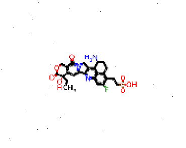 CC[C@@]1(O)C(=O)OCc2c1cc1n(c2=O)Cc2c-1nc1cc(F)c(CCS(=O)(=O)O)c3c1c2[C@@H](N)CC3